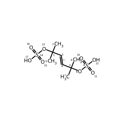 CC(C)(/C=C/C(C)(C)OS(=O)(=O)O)OS(=O)(=O)O